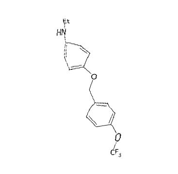 CCNc1ccc(OCc2ccc(OC(F)(F)F)cc2)cc1